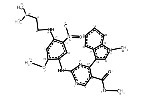 COC(=O)c1cnc(Nc2cc([N+](=O)[O-])c(NCCN(C)C)cc2OC)nc1-c1cn(C)c2ccccc12